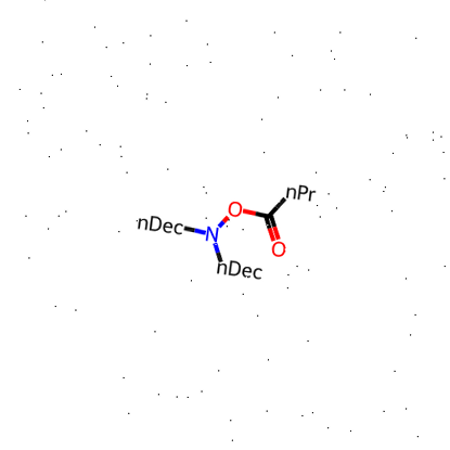 CCCCCCCCCCN(CCCCCCCCCC)OC(=O)CCC